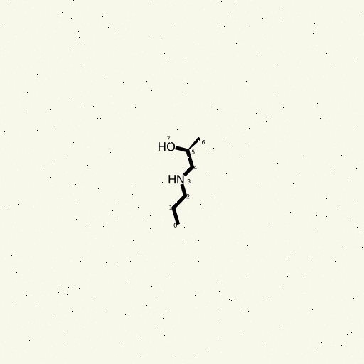 CCCNC[C@H](C)O